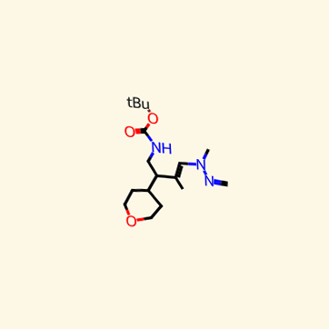 C=NN(C)/C=C(\C)C(CNC(=O)OC(C)(C)C)C1CCOCC1